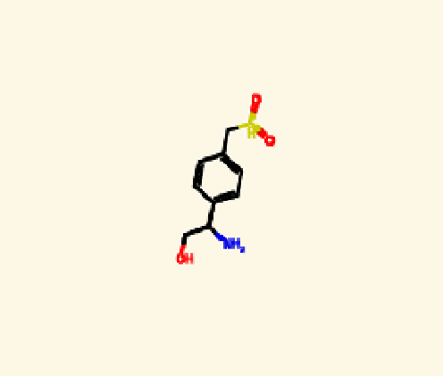 N[C@@H](CO)c1ccc(C[SH](=O)=O)cc1